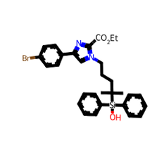 CCOC(=O)c1nc(-c2ccc(Br)cc2)cn1CCCC(C)(C)[Si](O)(c1ccccc1)c1ccccc1